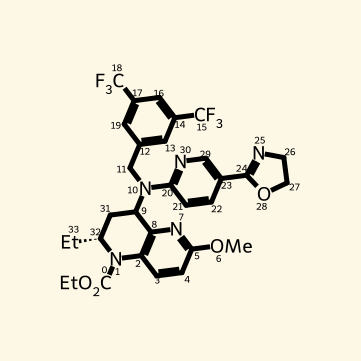 CCOC(=O)N1c2ccc(OC)nc2C(N(Cc2cc(C(F)(F)F)cc(C(F)(F)F)c2)c2ccc(C3=NCCO3)cn2)C[C@H]1CC